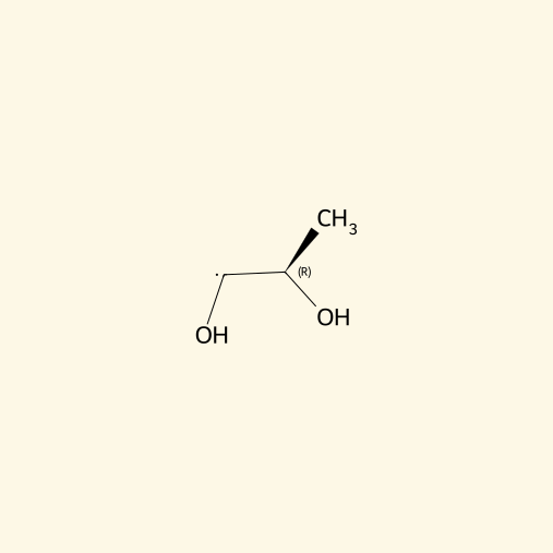 C[C@@H](O)[CH]O